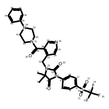 CC1(C)C(=O)N(c2ccc(S(=O)(=O)C(F)(F)F)cc2)C(=O)N1Cc1ccncc1C(=O)N1CCN(c2ccccc2)CC1